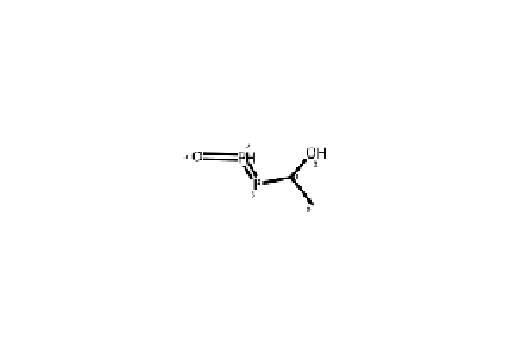 CC(O)P=[PH]=O